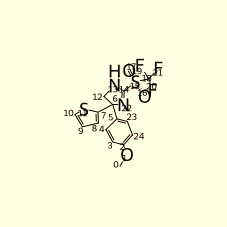 COc1ccc(C2(c3cccs3)CNC(S(=O)(=O)C(F)(F)F)=N2)cc1